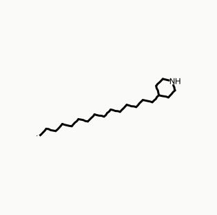 [CH2]CCCCCCCCCCCCCCC1CCNCC1